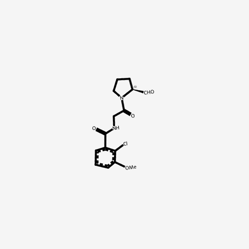 COc1cccc(C(=O)NCC(=O)N2CCC[C@H]2C=O)c1Cl